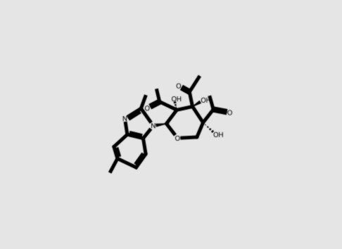 CC(=O)[C@]1(O)[C@@](O)(C(C)=O)CO[C@@H](n2c(C)nc3cc(C)ccc32)[C@@]1(O)C(C)=O